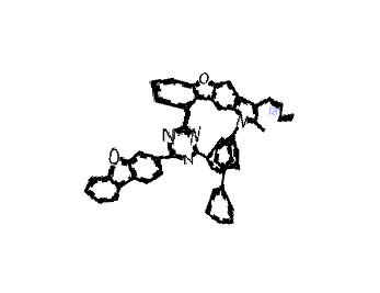 C=C/C=C\c1c(C)n(-c2ccc(-c3ccccc3)cc2)c2cc3c(cc12)oc1cccc(-c2nc(-c4ccccc4)nc(-c4ccc5c(c4)oc4ccccc45)n2)c13